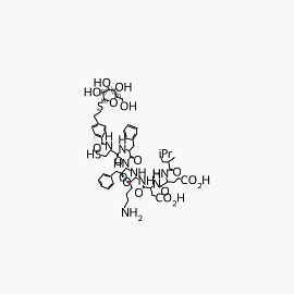 CC(C)CC(C)C(=O)NC(CCC(=O)O)C(=O)NC(CC(=O)O)C(=O)NC(NC(NC(=O)C(Cc1ccccc1)NC(=O)C(CS)NC(=O)c1ccc(CCS[C@@H]2O[C@H](CO)[C@@H](O)[C@H](O)[C@H]2O)cc1)C(=O)Cc1ccccc1)C(=O)CCCCN